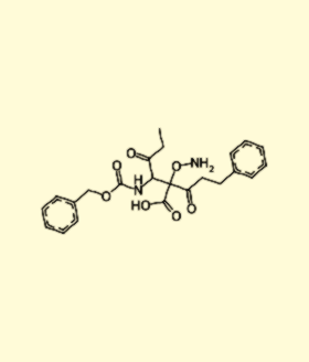 CCC(=O)C(NC(=O)OCc1ccccc1)C(ON)(C(=O)O)C(=O)CCc1ccccc1